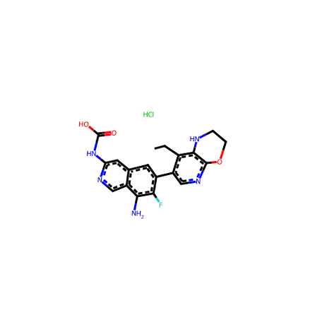 CCc1c(-c2cc3cc(NC(=O)O)ncc3c(N)c2F)cnc2c1NCCO2.Cl